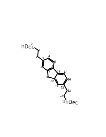 CCCCCCCCCCCCc1ccc2c(c1)Cc1cc(CCCCCCCCCCCC)ccc1-2